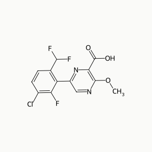 COc1ncc(-c2c(C(F)F)ccc(Cl)c2F)nc1C(=O)O